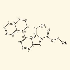 CCOC(=O)c1cn2ncnc(N3CCCc4ccccc43)c2c1CC